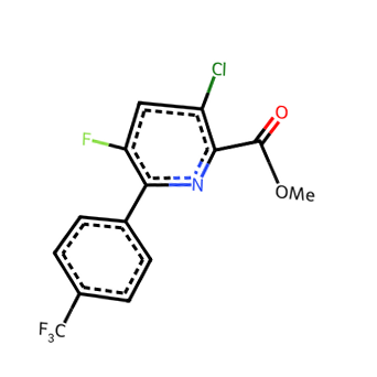 COC(=O)c1nc(-c2ccc(C(F)(F)F)cc2)c(F)cc1Cl